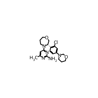 Cc1cc(N2CCCOC[C@@H]2c2ccc(N3CCCOC3)cc2Cl)nc(N)n1